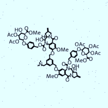 C=C1C[C@H]2C(O)N(C(=O)OCc3ccc(O[C@@H]4O[C@H](C(=O)OC)[C@@H](OC(C)=O)[C@H](OC(C)=O)[C@H]4OC(C)=O)cc3)c3cc(OCc4cc(COc5cc6c(cc5OC)C(=O)N5CC(=C)C[C@H]5C(O)N6C(=O)OCc5ccc(O[C@@H]6O[C@H](C(=O)OC)[C@@H](O)[C@H](OC(C)=O)[C@H]6OC(C)=O)cc5)cc(CN(C)C)c4)c(OC)cc3C(=O)N2C1